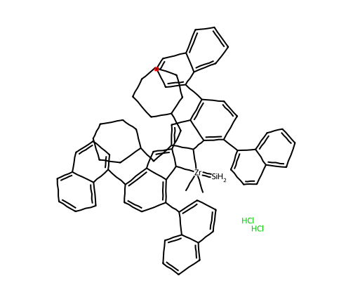 Cl.Cl.[CH3][Zr]([CH3])(=[SiH2])([CH]1C(CC2CCCCCC2)=Cc2c(-c3cccc4ccccc34)ccc(-c3cccc4ccccc34)c21)[CH]1C(CC2CCCCCC2)=Cc2c(-c3cccc4ccccc34)ccc(-c3cccc4ccccc34)c21